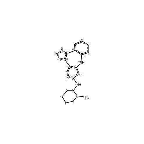 CC1CCCCC1Nc1ncc2c(n1)Nc1ccccc1-n1nnnc1-2